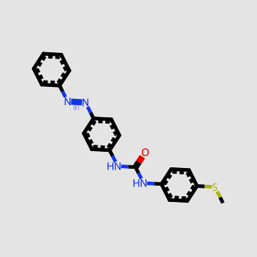 CSc1ccc(NC(=O)Nc2ccc(/N=N/c3ccccc3)cc2)cc1